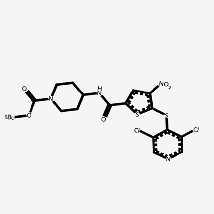 CC(C)(C)OC(=O)N1CCC(NC(=O)c2cc([N+](=O)[O-])c(Sc3c(Cl)cncc3Cl)s2)CC1